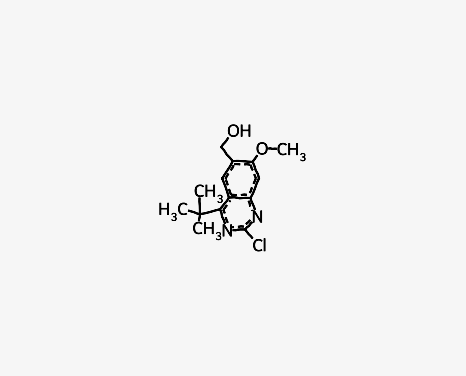 COc1cc2nc(Cl)nc(C(C)(C)C)c2cc1CO